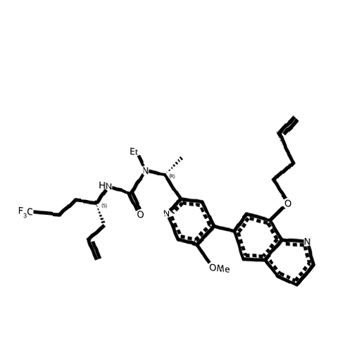 C=CCCOc1cc(-c2cc([C@@H](C)N(CC)C(=O)N[C@H](CC=C)CCC(F)(F)F)ncc2OC)cc2cccnc12